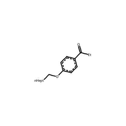 CCCCCCCCOc1ccc(C(=O)CC)cc1